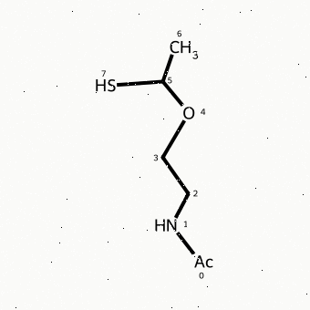 CC(=O)NCCOC(C)S